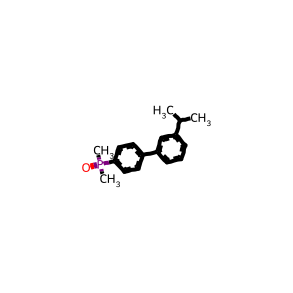 CC(C)c1cccc(-c2ccc(P(C)(C)=O)cc2)c1